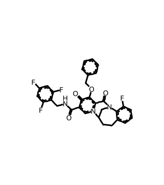 O=C(NCc1c(F)cc(F)cc1F)c1cn2c(c(OCc3ccccc3)c1=O)C(=O)N1CC2CCc2cccc(F)c21